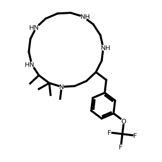 CC1NCCNCCCNCCNCC(Cc2cccc(OC(F)(F)F)c2)CCN(C)C1(C)C